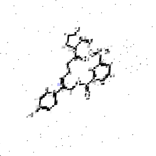 O=C(OC/C(=C\CCC(=O)N1CCOC1=O)c1ccc(F)cc1)c1cccc([N+](=O)[O-])c1